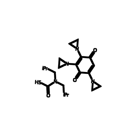 CC(C)CN(CC(C)C)C(=O)S.O=C1C=C(N2CC2)C(=O)C(N2CC2)=C1N1CC1